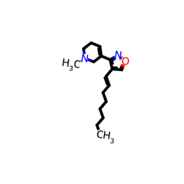 CCCCCCC=Cc1conc1C1=CCCN(C)C1